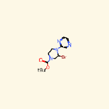 CC(C)(C)OC(=O)N1CCN(c2cnccn2)C(Br)C1